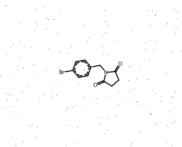 O=C1CCC(=O)N1Cc1ccc(Br)cc1